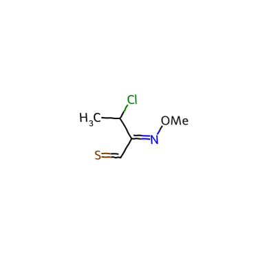 CON=C(C=S)C(C)Cl